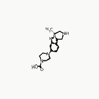 C[C@@H]1CNCc2c3ccc(N4CCN(C(=O)O)CC4)cc3nn21